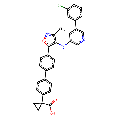 Cc1noc(-c2ccc(-c3ccc(C4(C(=O)O)CC4)cc3)cc2)c1Nc1cncc(-c2cccc(Cl)c2)c1